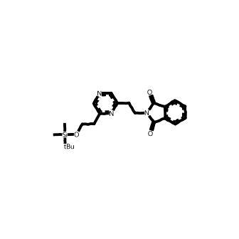 CC(C)(C)[Si](C)(C)OCCc1cncc(CCN2C(=O)c3ccccc3C2=O)n1